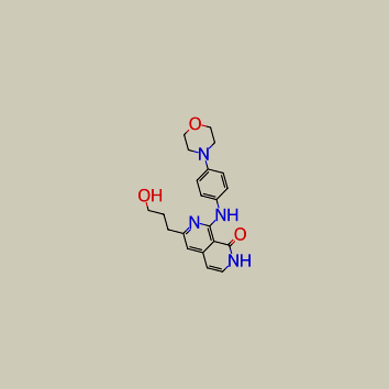 O=c1[nH]ccc2cc(CCCO)nc(Nc3ccc(N4CCOCC4)cc3)c12